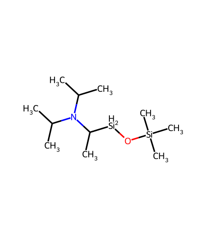 CC(C)N(C(C)C)C(C)[SiH2]O[Si](C)(C)C